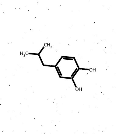 C[C](C)Cc1ccc(O)c(O)c1